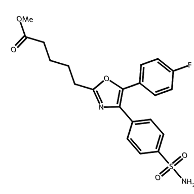 COC(=O)CCCCc1nc(-c2ccc(S(N)(=O)=O)cc2)c(-c2ccc(F)cc2)o1